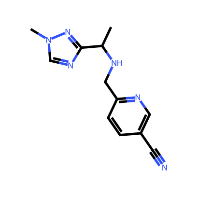 CC(NCc1ccc(C#N)cn1)c1ncn(C)n1